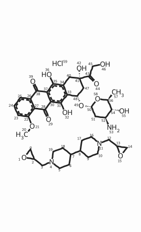 C1OC1CN1CCC(C2CCN(CC3CO3)CC2)CC1.COc1cccc2c1C(=O)c1c(O)c3c(c(O)c1C2=O)C[C@@](O)(C(=O)CO)C[C@@H]3O[C@H]1C[C@H](N)[C@@H](O)[C@H](C)O1.Cl